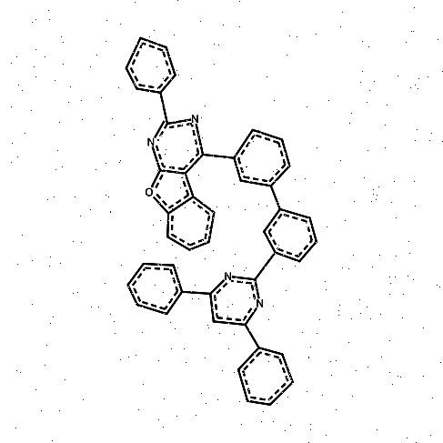 c1ccc(-c2cc(-c3ccccc3)nc(-c3cccc(-c4cccc(-c5nc(-c6ccccc6)nc6oc7ccccc7c56)c4)c3)n2)cc1